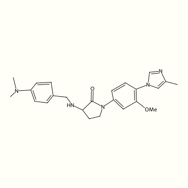 COc1cc(N2CCC(NCc3ccc(N(C)C)cc3)C2=O)ccc1-n1cnc(C)c1